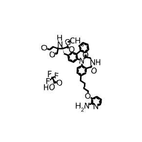 COC(=O)[C@]1(Cc2ccc(N3C(=O)CNC(=O)c4cc(CCCCOc5cccnc5N)ccc43)c(-c3ccccc3)c2)NC1(C=O)CC=O.O=C(O)C(F)(F)F